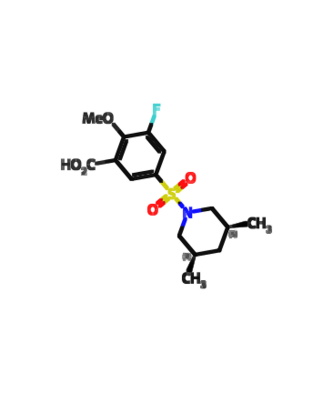 COc1c(F)cc(S(=O)(=O)N2C[C@H](C)C[C@H](C)C2)cc1C(=O)O